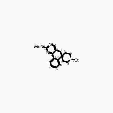 CCN1CCC2(CC1)Cc1cnc(NC)nc1-c1ccccc12